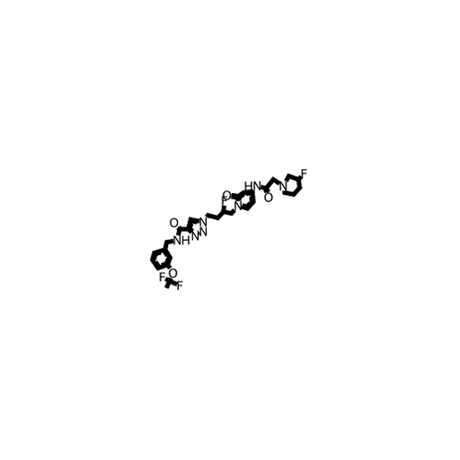 CC(F)(F)Oc1cccc(CNC(=O)c2cn(CCC(F)Cn3ccc(NC(=O)CN4CCCC(F)C4)cc3=O)nn2)c1